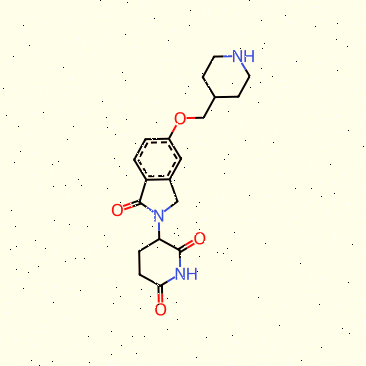 O=C1CCC(N2Cc3cc(OCC4CCNCC4)ccc3C2=O)C(=O)N1